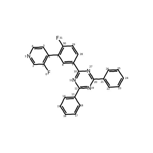 Fc1cnccc1-c1cc(-c2nc(-c3ccccc3)nc(-c3ccccc3)n2)ccc1F